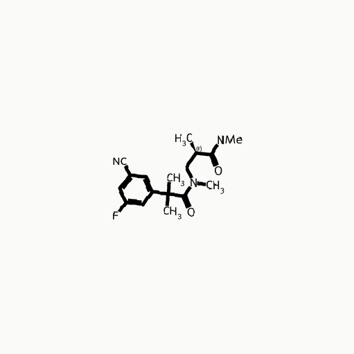 CNC(=O)[C@H](C)CN(C)C(=O)C(C)(C)c1cc(F)cc(C#N)c1